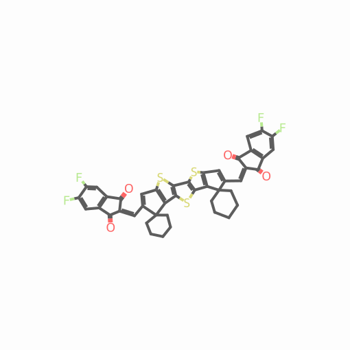 O=C1C(=CC2=Cc3sc4c(sc5c6c(sc54)C=C(C=C4C(=O)c5cc(F)c(F)cc5C4=O)C64CCCCC4)c3C23CCCCC3)C(=O)c2cc(F)c(F)cc21